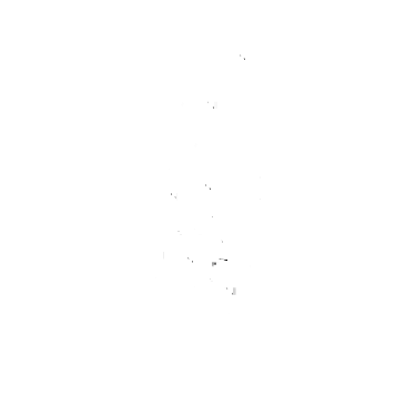 C[C@]1(C(=O)Nc2cccc(Cl)c2)[C@@H](c2cccc(Cl)c2F)[C@@H]2c3nc4cc(C(=O)NCCN)ccc4n3CC[C@@H]2N1CC1CC1